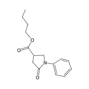 CCCCOC(=O)C1CC(=O)N(c2ccccc2)C1